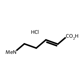 CNCC/C=C/C(=O)O.Cl